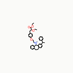 CCOC(=O)C(Cc1ccc(OCCN(C)C2c3ccccc3CCc3ccc(C(C)c4ccccc4)cc32)cc1)OCC